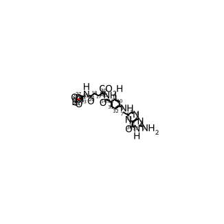 Nc1nc2ncc(CNc3ccc(C(=O)N[C@@H](CCC(=O)NC45COB(OC4)OC5)C(=O)O)cc3)nc2c(=O)[nH]1